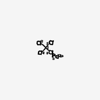 ClC(Cl)(Cl)Cl.[Pd+2]